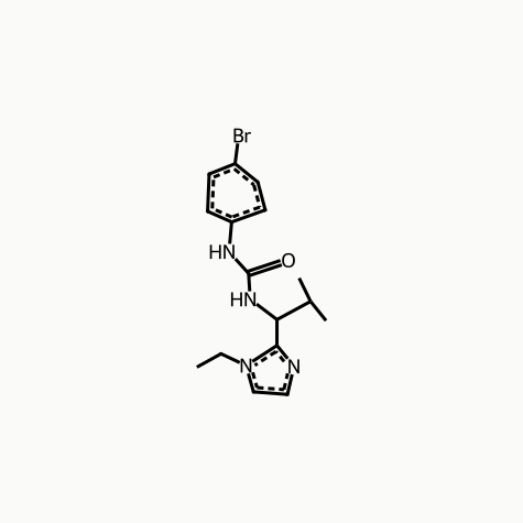 CCn1ccnc1C(NC(=O)Nc1ccc(Br)cc1)C(C)C